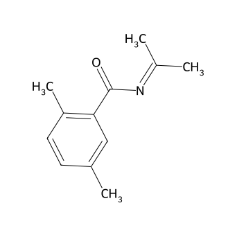 CC(C)=NC(=O)c1cc(C)ccc1C